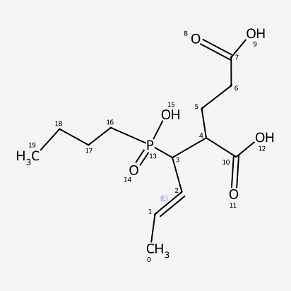 C/C=C/C(C(CCC(=O)O)C(=O)O)P(=O)(O)CCCC